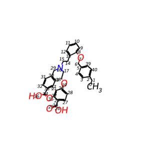 CCc1ccc(COc2ccccc2CCN(CCOc2ccc(C(=O)O)cc2)Cc2ccc(C(=O)O)cc2)cc1